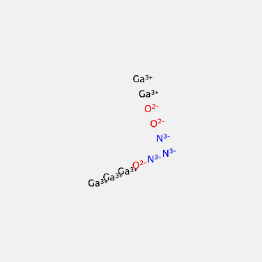 [Ga+3].[Ga+3].[Ga+3].[Ga+3].[Ga+3].[N-3].[N-3].[N-3].[O-2].[O-2].[O-2]